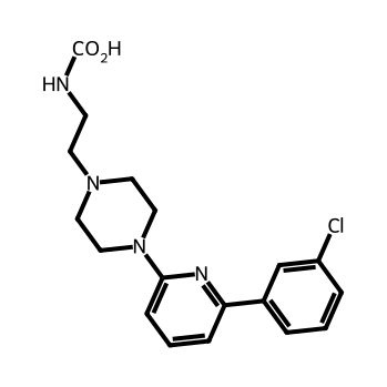 O=C(O)NCCN1CCN(c2cccc(-c3cccc(Cl)c3)n2)CC1